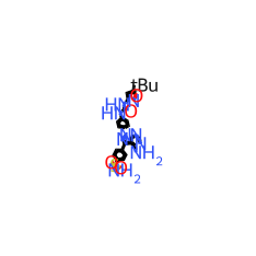 CC(C)(C)c1cc(NC(=O)Nc2ccc(-n3nc(-c4ccc(S(N)(=O)=O)cc4)c4c(N)ncnc43)cc2)no1